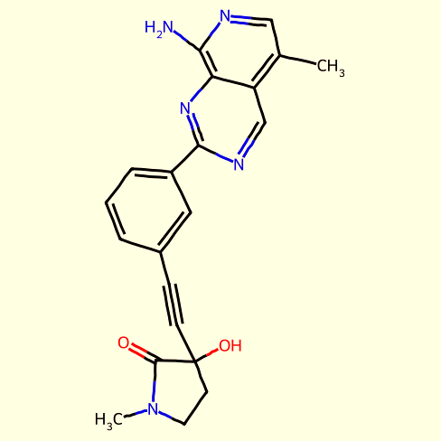 Cc1cnc(N)c2nc(-c3cccc(C#CC4(O)CCN(C)C4=O)c3)ncc12